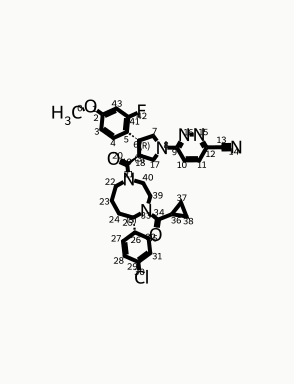 COc1ccc([C@@H]2CN(c3ccc(C#N)nn3)C[C@H]2C(=O)N2CCC[C@@H](C3C=CC(Cl)=CC3)N(C(=O)C3CC3)CC2)c(F)c1